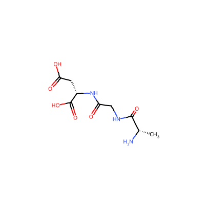 C[C@H](N)C(=O)NCC(=O)N[C@@H](CC(=O)O)C(=O)O